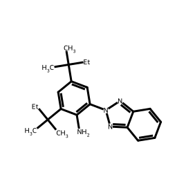 CCC(C)(C)c1cc(-n2nc3ccccc3n2)c(N)c(C(C)(C)CC)c1